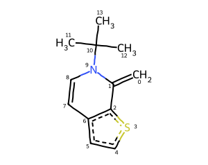 C=C1c2sccc2C=CN1C(C)(C)C